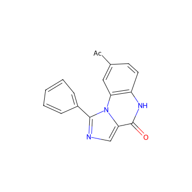 CC(=O)c1ccc2[nH]c(=O)c3cnc(-c4ccccc4)n3c2c1